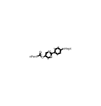 CCCCCCCc1ccc(-c2ncc(OC(=O)CCCCC)cn2)cc1